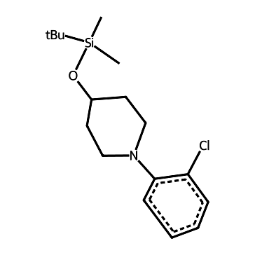 CC(C)(C)[Si](C)(C)OC1CCN(c2ccccc2Cl)CC1